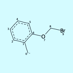 [CH2]c1ccccc1OCBr